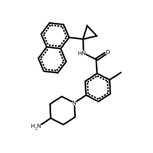 Cc1ccc(N2CCC(N)CC2)cc1C(=O)NC1(c2cccc3ccccc23)CC1